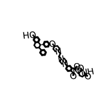 O=C1CCC(N2C(=O)c3ccc(N4CCN(CCN5CCC(Oc6ccc([C@@H]7c8ccc(O)cc8CCC7c7ccccc7)cc6)CC5)CC4)cc3C2=O)C(=O)N1